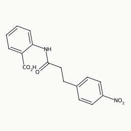 O=C(CCc1ccc([N+](=O)[O-])cc1)Nc1ccccc1C(=O)O